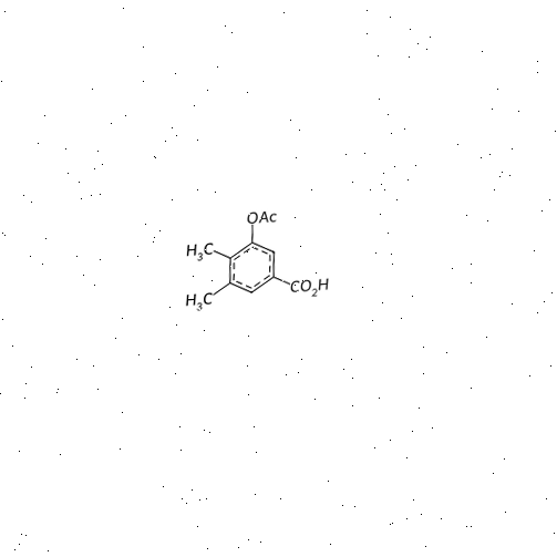 CC(=O)Oc1cc(C(=O)O)cc(C)c1C